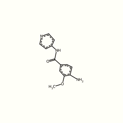 COc1cc(C(=O)Nc2ccncc2)ccc1N